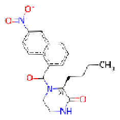 CCCC[C@H]1C(=O)NCCN1C(=O)c1cccc2cc([N+](=O)[O-])ccc12